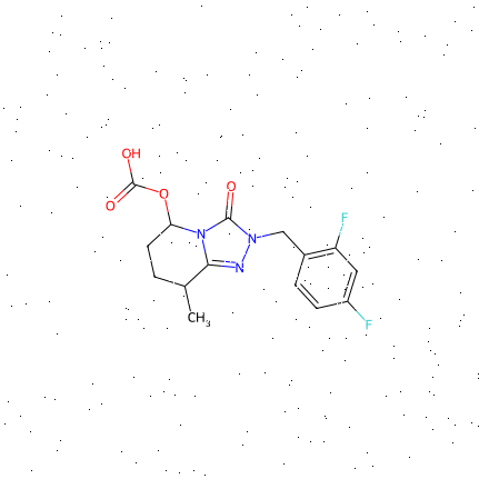 CC1CCC(OC(=O)O)n2c1nn(Cc1ccc(F)cc1F)c2=O